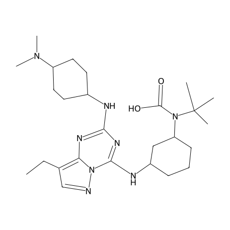 CCc1cnn2c(NC3CCCC(N(C(=O)O)C(C)(C)C)C3)nc(NC3CCC(N(C)C)CC3)nc12